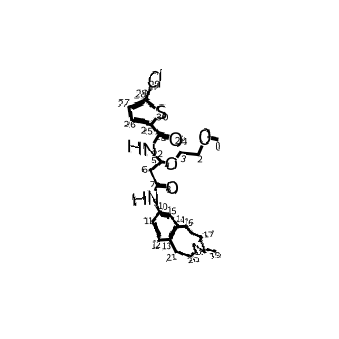 COCCOC(CC(=O)Nc1ccc2c(c1)CCN(C)CC2)NC(=O)c1ccc(Cl)s1